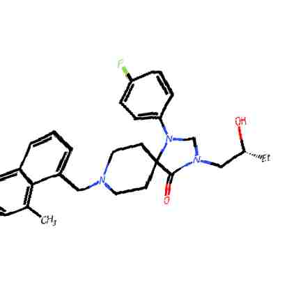 CC[C@@H](O)CN1CN(c2ccc(F)cc2)C2(CCN(Cc3cccc4cccc(C)c34)CC2)C1=O